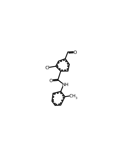 Cc1ccccc1NC(=O)c1ccc(C=O)cc1Cl